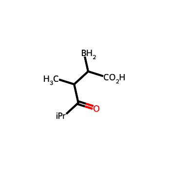 BC(C(=O)O)C(C)C(=O)C(C)C